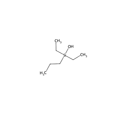 CCC[Si](O)(CC)CC